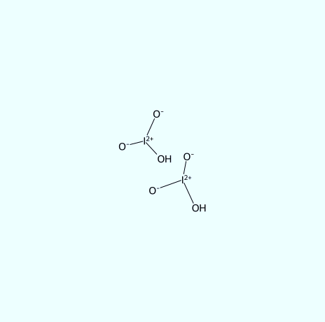 [O-][I+2]([O-])O.[O-][I+2]([O-])O